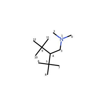 CN(C)CC(C(C)(C)C)C(C)(C)C